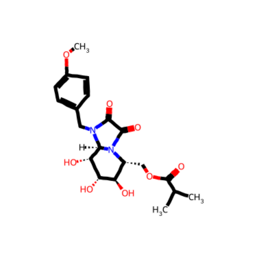 COc1ccc(CN2C(=O)C(=O)N3[C@H](COC(=O)C(C)C)[C@@H](O)[C@H](O)[C@H](O)[C@@H]23)cc1